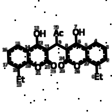 CCc1cccc2c(O)c(C(C(C)=O)c3c(O)c4cccc(CC)c4oc3=O)c(=O)oc12